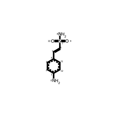 Nc1ccc(C=CS(N)(=O)=O)cc1